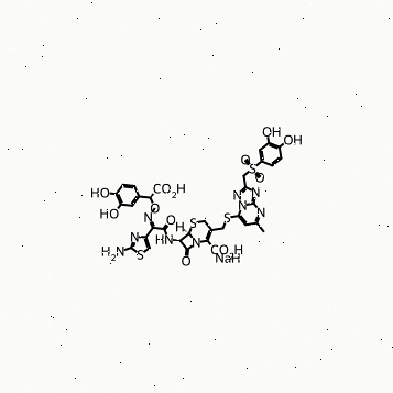 Cc1cc(SCC2=C(C(=O)O)N3C(=O)[C@@H](NC(=O)/C(=N\O[C@H](C(=O)O)c4ccc(O)c(O)c4)c4csc(N)n4)[C@H]3SC2)n2nc(CS(=O)(=O)c3ccc(O)c(O)c3)nc2n1.[NaH]